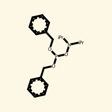 CC(C)N(OP(OCc1ccccc1)OCc1ccccc1)C(C)C